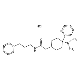 CN(C)C1(c2ccccn2)CCC(CC(=O)NCCCc2ccccc2)CC1.Cl